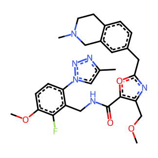 COCc1nc(Cc2ccc3c(c2)CN(C)CC3)oc1C(=O)NCc1c(-n2cc(C)nn2)ccc(OC)c1F